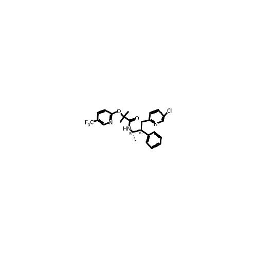 C[C@H](NC(=O)C(C)(C)Oc1ccc(C(F)(F)F)cn1)[C@@H](Cc1ccc(Cl)cn1)c1ccccc1